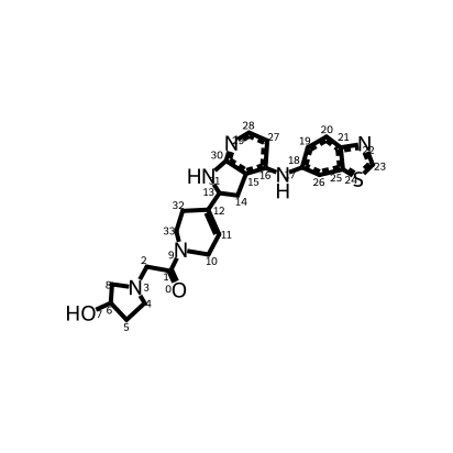 O=C(CN1CCC(O)C1)N1CC=C(C2Cc3c(Nc4ccc5ncsc5c4)ccnc3N2)CC1